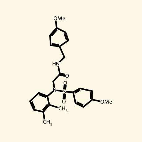 COc1ccc(CNC(=O)CN(c2cccc(C)c2C)S(=O)(=O)c2ccc(OC)cc2)cc1